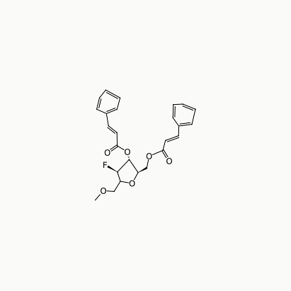 COCC1O[C@H](COC(=O)/C=C/c2ccccc2)[C@@H](OC(=O)/C=C/c2ccccc2)[C@@H]1F